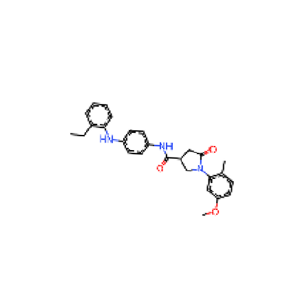 CCc1ccccc1Nc1ccc(NC(=O)C2CC(=O)N(c3cc(OC)ccc3C)C2)cc1